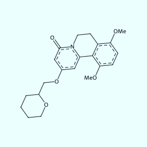 COc1ccc(OC)c2c1CCn1c-2cc(OCC2CCCCO2)cc1=O